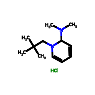 CN(C)C1C=CC=CN1CC(C)(C)C.Cl